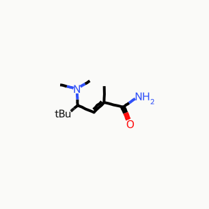 CC(=CC(N(C)C)C(C)(C)C)C(N)=O